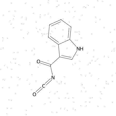 O=C=NC(=O)c1c[nH]c2ccccc12